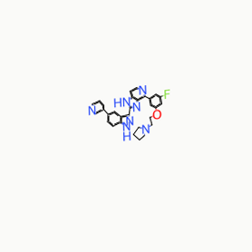 Fc1cc(OCCN2CCCC2)cc(-c2nccc3[nH]c(-c4n[nH]c5ccc(-c6cccnc6)cc45)nc23)c1